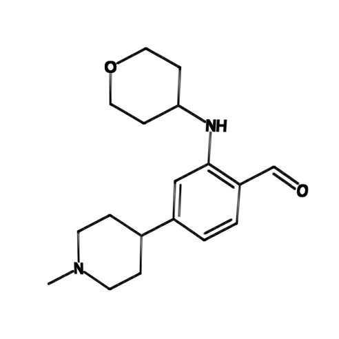 CN1CCC(c2ccc(C=O)c(NC3CCOCC3)c2)CC1